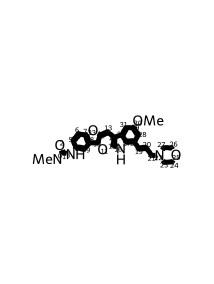 CNC(=O)Nc1ccc2c(c1)C(=O)C(=Cc1c[nH]c3c(/C=C/CN4CCOCC4)cc(OC)cc13)O2